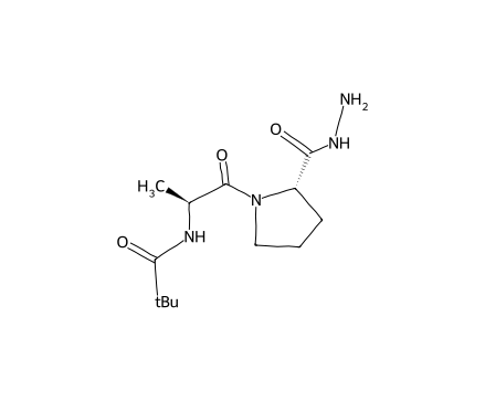 C[C@H](NC(=O)C(C)(C)C)C(=O)N1CCC[C@H]1C(=O)NN